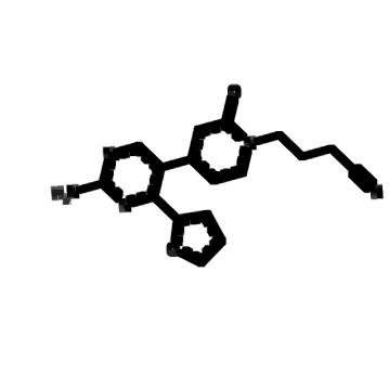 N#CCCCn1ccc(-c2cnc(N)nc2-c2ccco2)cc1=O